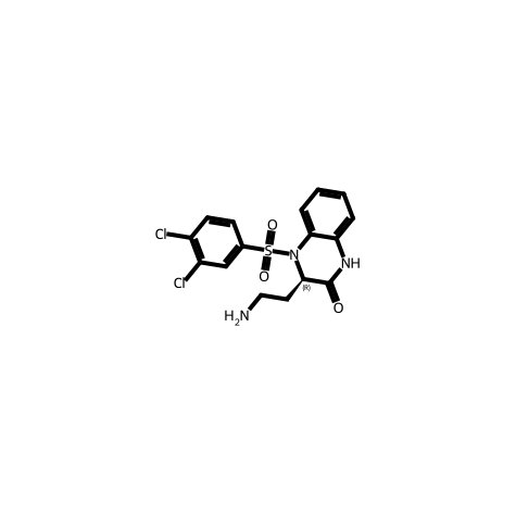 NCC[C@@H]1C(=O)Nc2ccccc2N1S(=O)(=O)c1ccc(Cl)c(Cl)c1